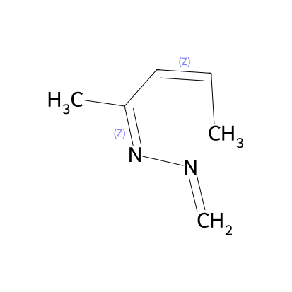 C=N/N=C(C)\C=C/C